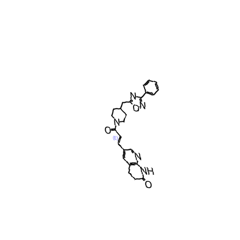 O=C1CCc2cc(/C=C/C(=O)N3CCC(Cc4nc(-c5ccccc5)no4)CC3)cnc2N1